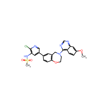 COc1ccc2c(N3CCOc4ccc(-c5cnc(Cl)c(NS(C)(=O)=O)c5)cc4C3)ncnc2c1